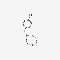 Clc1ccc(CN2CCCNCC2)cc1